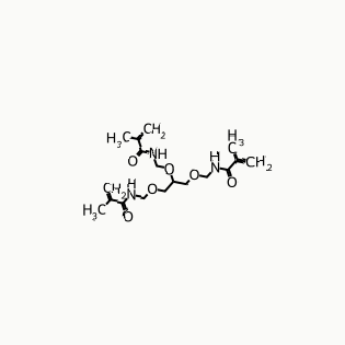 C=C(C)C(=O)NCOCC(COCNC(=O)C(=C)C)OCNC(=O)C(=C)C